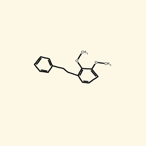 COc1cccc(CCc2ccccc2)c1OC